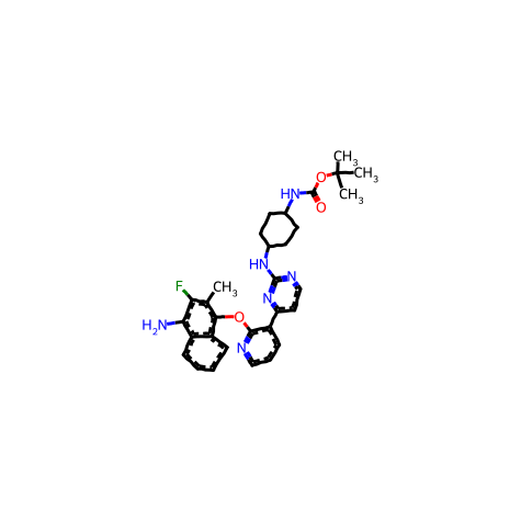 Cc1c(F)c(N)c2ccccc2c1Oc1ncccc1-c1ccnc(NC2CCC(NC(=O)OC(C)(C)C)CC2)n1